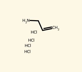 C=CCN.Cl.Cl.Cl.Cl